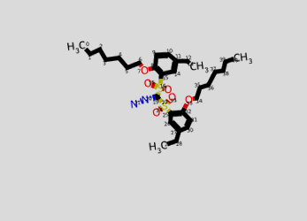 CCCCCCCOc1ccc(CC)cc1S(=O)(=O)C(=[N+]=[N-])S(=O)(=O)c1cc(CC)ccc1OCCCCCCC